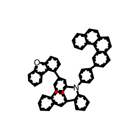 c1cc(-c2cccc3oc4ccccc4c23)cc(N(c2ccc(-c3ccc4ccc5ccc6ccccc6c5c4c3)cc2)c2ccccc2-c2ccc3ccccc3c2)c1